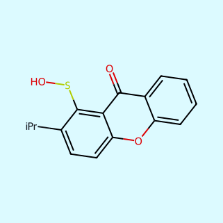 CC(C)c1ccc2oc3ccccc3c(=O)c2c1SO